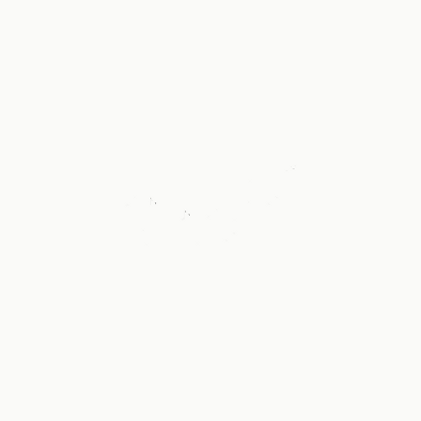 CC1CC=CN=C1c1ccc2ccc(-c3ccc(Br)cc3)cc2n1